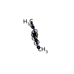 CCCCOc1ccc(/C=C/C(=O)O[C@@H]2CO[C@H]3[C@@H]2OC[C@@H]3OC(=O)c2ccc(OC(=O)/C=C/c3ccc(C)cc3)cc2)cc1